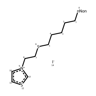 CCCCCCCCCCCCCCSCC[n+]1ccsc1.[I-]